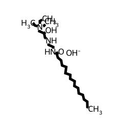 CCCCCCCCCCCCCCCCC(=O)NCCNCC(O)C[N+](CC)(CC)CC.[OH-]